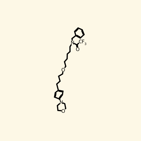 O=C(N(CCCCCCOCCCCc1ccc(N2CCOCC2)cc1)Cc1ccccc1)C(F)(F)F